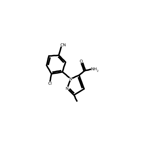 Cc1cc(C(N)=O)n(-c2cc(C#N)ccc2Cl)n1